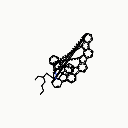 CCCCC(CC)CC1N(c2ccccc2)C(c2ccccc2)C23C4=c5ccc6c7ccc8c9ccc%10c%11ccc%12c%13c(c%14c%15c2c5c6c2c7c8c5c9c%10c(c%13%11)c%14c5c%152)C13C=%12C=C4